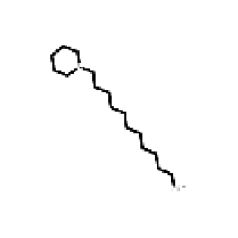 O=CCCCCCCCCCCCN1CCCCC1